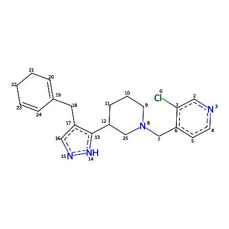 Clc1cnccc1CN1CCCC(c2[nH]ncc2CC2=CCCC=C2)C1